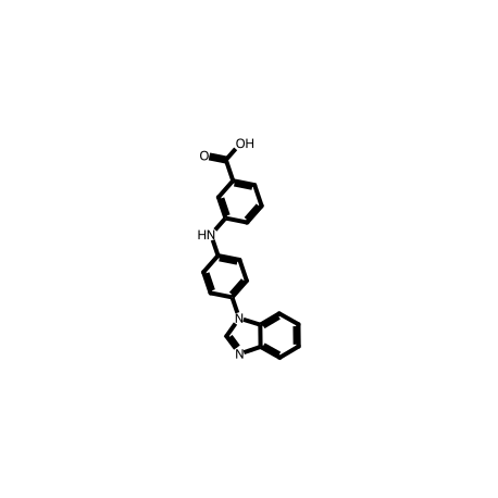 O=C(O)c1cccc(Nc2ccc(-n3cnc4ccccc43)cc2)c1